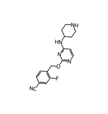 N#Cc1ccc(COc2nccc(NC3CCNCC3)n2)c(F)c1